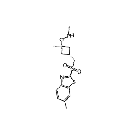 Cc1ccc2nc(S(=O)(=O)C[C@H]3C[C@](C)(OPI)C3)sc2c1